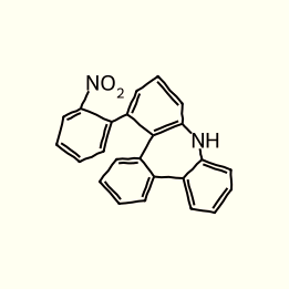 O=[N+]([O-])c1ccccc1-c1cccc2c1-c1ccccc1-c1ccccc1N2